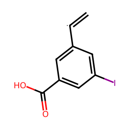 C=[C]c1cc(I)cc(C(=O)O)c1